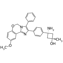 COc1ccc2c(c1)-c1nc(-c3ccc([C@]4(N)C[C@@](C)(O)C4)cc3)c(-c3ccccc3)n1CO2